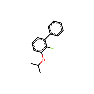 CC(C)Oc1cccc(-c2ccccc2)c1F